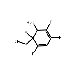 [CH2]C1C(F)=C(F)C=C(F)C1(F)CCl